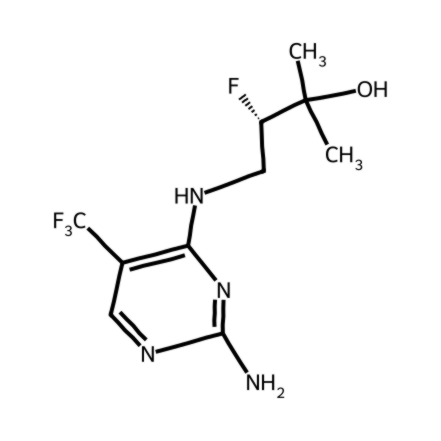 CC(C)(O)[C@@H](F)CNc1nc(N)ncc1C(F)(F)F